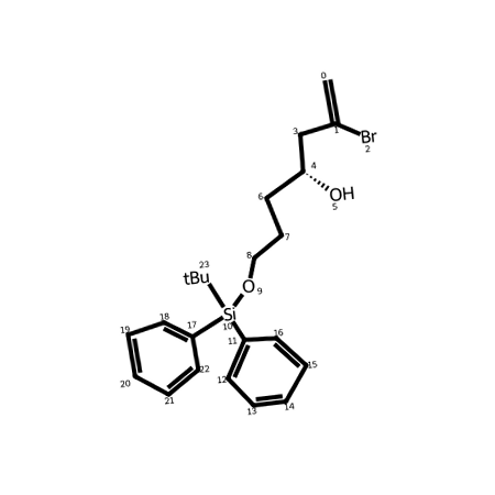 C=C(Br)C[C@H](O)CCCO[Si](c1ccccc1)(c1ccccc1)C(C)(C)C